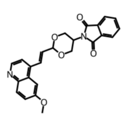 COc1ccc2nccc(C=CC3OCC(N4C(=O)c5ccccc5C4=O)CO3)c2c1